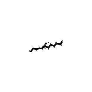 CCCCC=CCCCCCC.[H+]